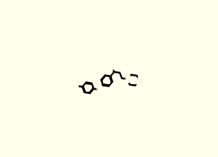 CC(CCN1CCNCC1)c1ccc(Oc2ccc(Br)cc2)cc1